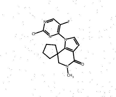 CN1CC2(CCCC2)c2c(ccn2-c2nc(Cl)ncc2F)C1=O